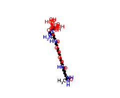 C[C@@H]1NC(=O)N[C@@H]1CCCCCC(=O)NCCOCCOCCOCCOCCC(=O)NCCCc1cn([C@@H]2O[C@H](COP(=O)(O)O)C(OP(=O)(O)O)C2O)c(=O)nc1N